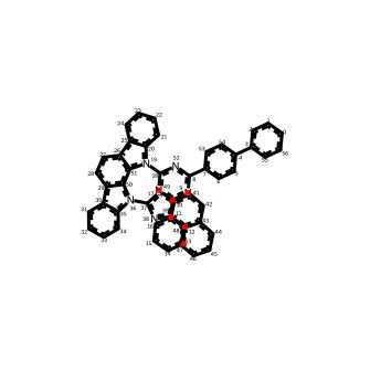 c1ccc(-c2ccc(-c3nc(-c4ccccc4)nc(-n4c5ccccc5c5ccc6c7ccccc7n(-c7nc8c(ccc9ccccc98)s7)c6c54)n3)cc2)cc1